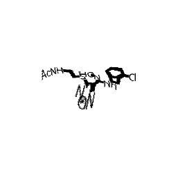 CC(=O)NCCSc1nonc1C(=NO)NC1Cc2c(Cl)cccc21